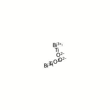 [Bi+3].[Bi+3].[O-2].[O-2].[O-2].[Ti].[Ti]